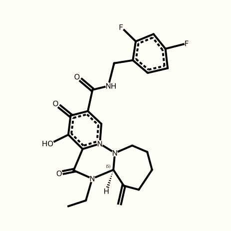 C=C1CCCCN2[C@@H]1N(CC)C(=O)c1c(O)c(=O)c(C(=O)NCc3ccc(F)cc3F)cn12